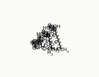 C=C(C)CCOP(=O)(O)OP(=O)(O)O.CC(C)=CCC/C(C)=C/CC/C(C)=C/COP(=O)(O)OP(=O)(O)O.CC(C)=CCC/C(C)=C/COP(=O)(O)OP(=O)(O)O.O=P(O)(O)OP(=O)(O)O